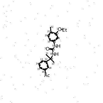 CCOc1cc(NC(=O)NC(C)(C)c2cccc(C(C)=O)c2)ccc1C